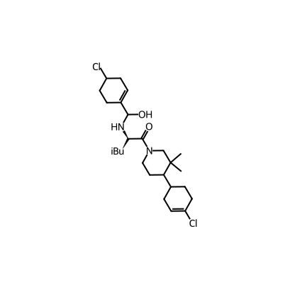 CC[C@H](C)[C@@H](NC(O)C1=CCC(Cl)CC1)C(=O)N1CCC(C2CC=C(Cl)CC2)C(C)(C)C1